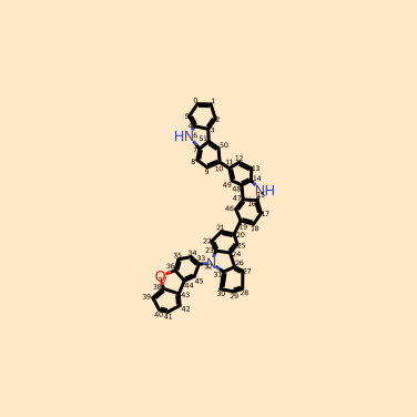 c1ccc2c(c1)[nH]c1ccc(-c3ccc4[nH]c5ccc(-c6ccc7c(c6)c6ccccc6n7-c6ccc7oc8ccccc8c7c6)cc5c4c3)cc12